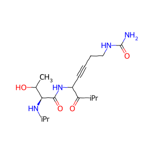 CC(C)N[C@H](C(=O)NC(C#CCCNC(N)=O)C(=O)C(C)C)C(C)O